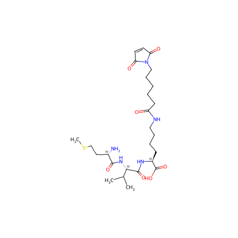 CSCC[C@H](N)C(=O)N[C@H](C(=O)N[C@@H](CCCCNC(=O)CCCCCN1C(=O)C=CC1=O)C(=O)O)C(C)C